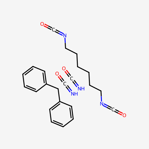 N=C=O.N=C=O.O=C=NCCCCCCN=C=O.c1ccc(Cc2ccccc2)cc1